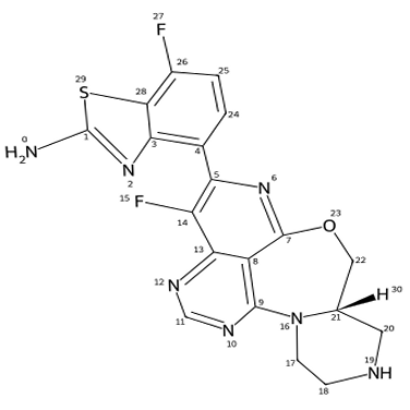 Nc1nc2c(-c3nc4c5c(ncnc5c3F)N3CCNC[C@H]3CO4)ccc(F)c2s1